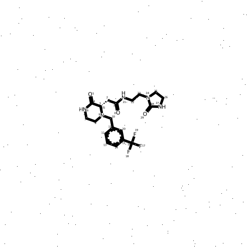 O=C(C[C@H]1C(=O)NCCN1Cc1cccc(C(F)(F)F)c1)NCCN1CCNC1=O